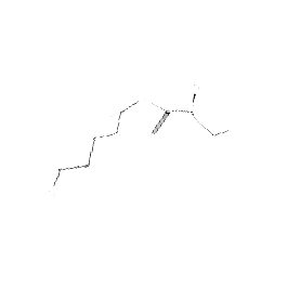 CC(C)C[C@H](N)C(=O)N[C@H](CCCCN)C(=O)O